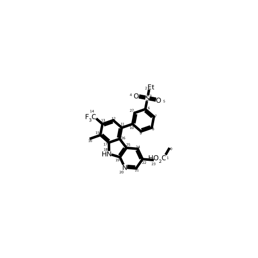 CC(=O)O.CCS(=O)(=O)c1cccc(-c2cc(C(F)(F)F)c(C)c3[nH]c4ncc(C)cc4c23)c1